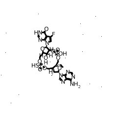 CC[C@@]12COP(=O)(O)O[C@@H]3[C@H](O)[C@@H](COP(=O)(S)OC[C@H]1[C@@H](C)[C@H](n1cnc4c(N)ncnc41)O2)O[C@H]3n1cc(F)c2c(=O)[nH]cnc21